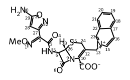 CON=C(C(=O)NC1C(=O)N2C(C(=O)[O-])=C(C[n+]3ccc4ccccc4c3)CS[C@@H]12)c1cc(N)on1